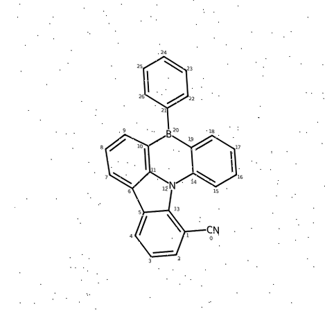 N#Cc1cccc2c3cccc4c3n(c12)-c1ccccc1B4c1ccccc1